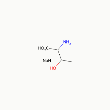 CC(O)C(N)C(=O)O.[NaH]